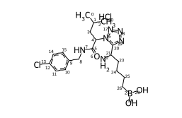 CC(C)CC(C(=O)NCc1ccc(Cl)cc1)n1nnnc1C(N)CCCCB(O)O.Cl